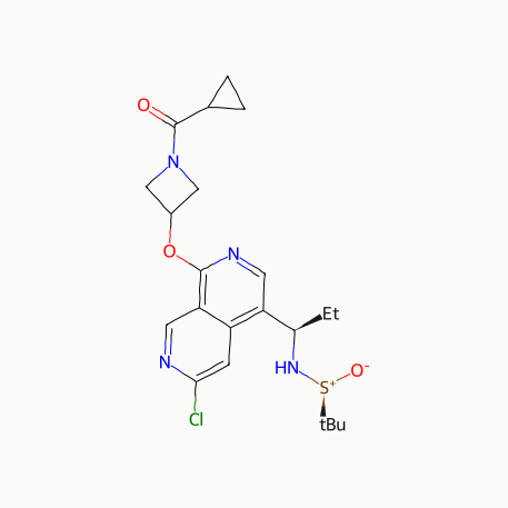 CC[C@@H](N[S@@+]([O-])C(C)(C)C)c1cnc(OC2CN(C(=O)C3CC3)C2)c2cnc(Cl)cc12